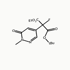 CCOC(=O)C(F)(C(=O)OC(C)(C)C)c1cnn(C)c(=O)c1